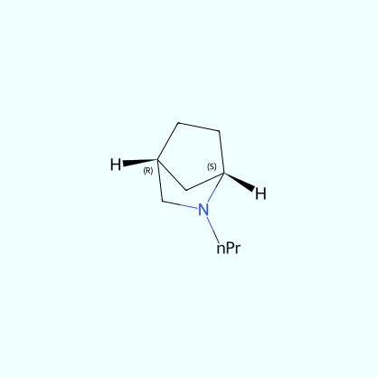 CCCN1C[C@@H]2CC[C@H]1C2